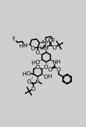 CC[C@@]1(O[C@H]2[C@@H](O)[C@@H](O[C@H]3OC[C@](C)(O)[C@H](N(C)C(=O)OC(C)(C)C)[C@H]3O)[C@H](NC(=O)OCc3ccccc3)C[C@@H]2NC(=O)OC(C)(C)C)O[C@H](NCCF)CC[C@H]1NCCF